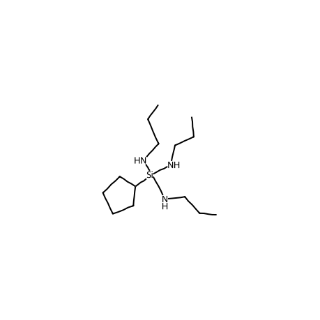 CCCN[Si](NCCC)(NCCC)C1CCCC1